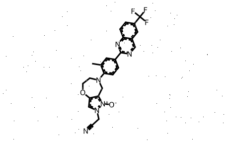 Cc1cc(-c2ncc3cc(C(F)(F)F)ccc3n2)ccc1N1CCOc2cn(CC#N)[n+]([O-])c2C1